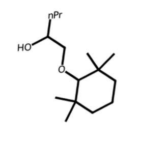 CCCC(O)COC1C(C)(C)CCCC1(C)C